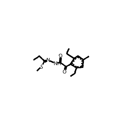 CCC(=NNC(=O)C(=O)c1c(CC)cc(C)cc1CC)SC